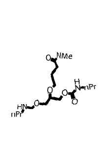 CCCNCOCC(COC(=O)NCCC)OCCCC(=O)NC